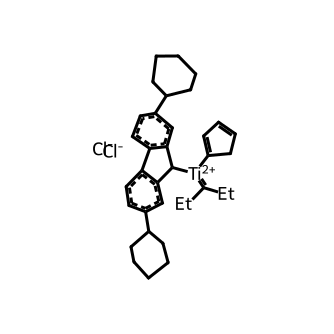 CC[C](CC)=[Ti+2]([C]1=CC=CC1)[CH]1c2cc(C3CCCCC3)ccc2-c2ccc(C3CCCCC3)cc21.[Cl-].[Cl-]